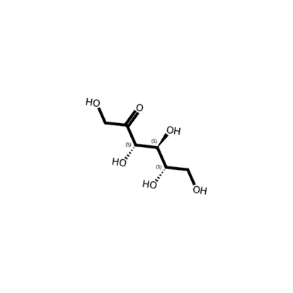 O=C(CO)[C@@H](O)[C@@H](O)[C@@H](O)CO